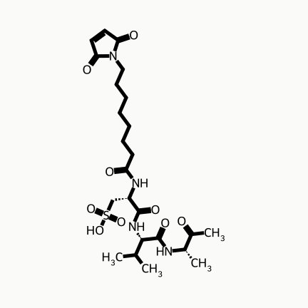 CC(=O)[C@H](C)NC(=O)[C@@H](NC(=O)[C@H](CS(=O)(=O)O)NC(=O)CCCCCCCN1C(=O)C=CC1=O)C(C)C